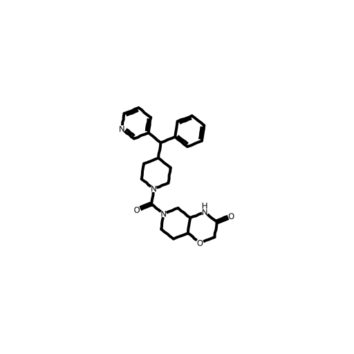 O=C1COC2CCN(C(=O)N3CCC(C(c4ccccc4)c4cccnc4)CC3)CC2N1